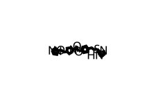 O=C(Oc1ccc(CCSc2ncc[nH]2)cc1)N1CCC(COn2ccnc2)CC1